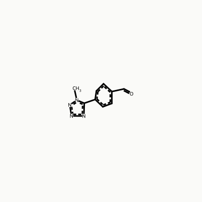 Cn1nnnc1-c1ccc(C=O)cc1